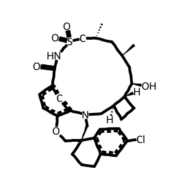 C[C@@H]1C[C@@H](C)CS(=O)(=O)NC(=O)c2ccc3c(c2)N(C[C@@H]2CC[C@H]2[C@H](O)C1)C[C@@]1(CCCc2cc(Cl)ccc21)CO3